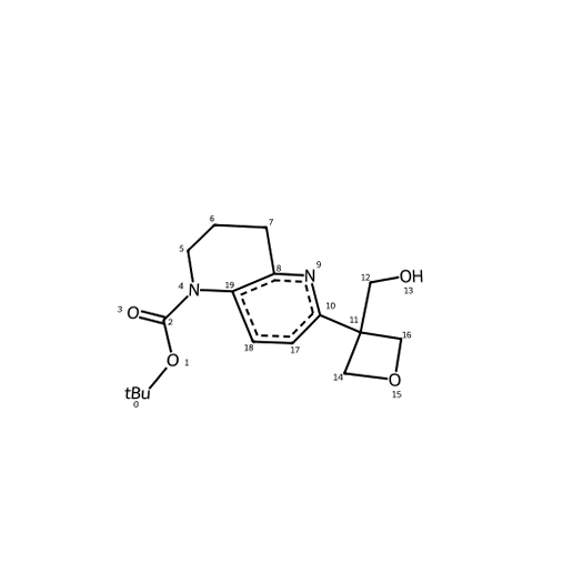 CC(C)(C)OC(=O)N1CCCc2nc(C3(CO)COC3)ccc21